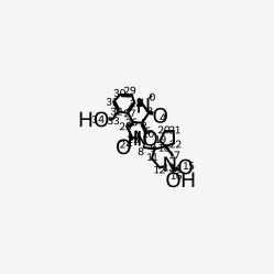 CN(C)C(=O)c1cn(CC2(O)CCN(C(=O)O)CC23CCCC3)c(=O)cc1-c1ccccc1CO